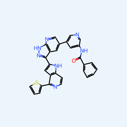 O=C(Nc1cncc(-c2cnc3[nH]nc(-c4cc5c(-c6cccs6)nccc5[nH]4)c3c2)c1)c1ccccc1